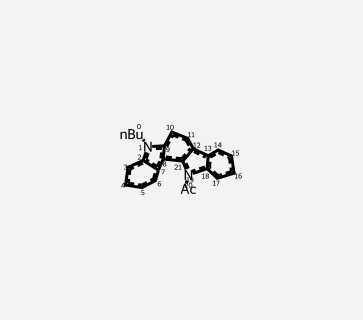 CCCCn1c2ccccc2c2c1ccc1c3ccccc3n(C(C)=O)c12